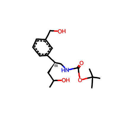 CC(O)C[C@H](CNC(=O)OC(C)(C)C)c1cccc(CO)c1